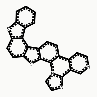 c1ccc2c(c1)sc1ccc3sc4c(ccc5c6ccncc6c6nccn6c54)c3c12